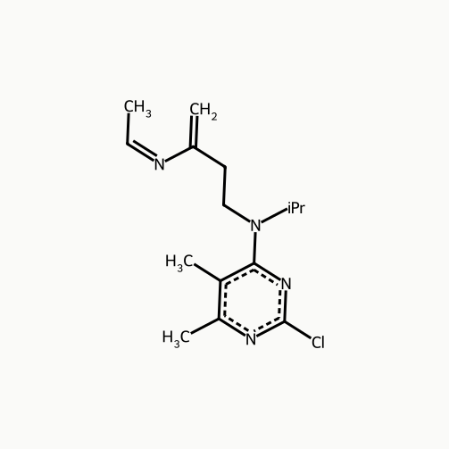 C=C(CCN(c1nc(Cl)nc(C)c1C)C(C)C)/N=C\C